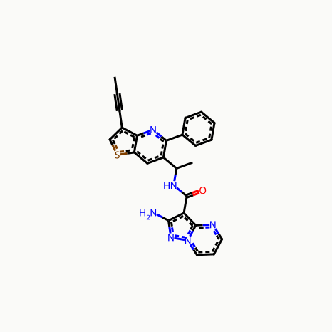 CC#Cc1csc2cc(C(C)NC(=O)c3c(N)nn4cccnc34)c(-c3ccccc3)nc12